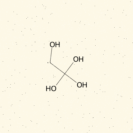 O[CH]C(O)(O)O